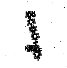 O=c1[nH]ncn1-c1ccc(N2CCN(c3ccc(SCC4COC(Cn5cncn5)(c5ccc(F)cc5F)O4)cc3)CC2)cc1